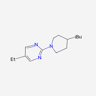 CCc1cnc(N2CCC(C(C)CC)CC2)nc1